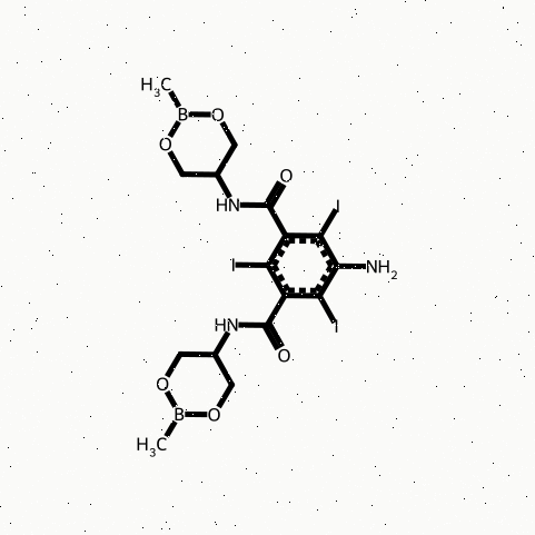 CB1OCC(NC(=O)c2c(I)c(N)c(I)c(C(=O)NC3COB(C)OC3)c2I)CO1